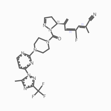 C=C(/C=C(F)\C=C(/C)C#N)[C@@H]1CC=NN1C(=O)N1CCN(c2nccc(-n3nc(C(F)(F)F)nc3C)n2)CC1